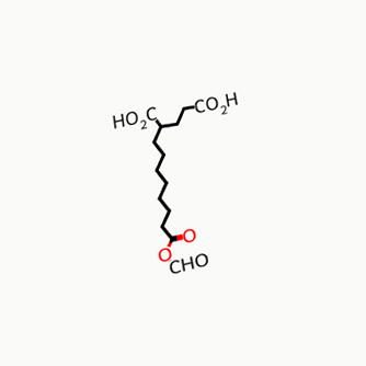 O=COC(=O)CCCCCCCC(CCC(=O)O)C(=O)O